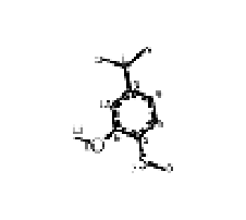 [CH2]C(C)c1ccc(SC)c(OC)c1